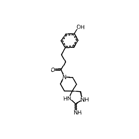 N=C1NCC2(CCN(C(=O)CCc3ccc(O)cc3)CC2)N1